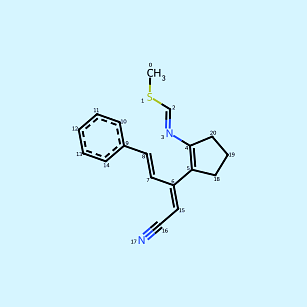 CS/C=N/C1=C(C(/C=C/c2ccccc2)=C/C#N)CCC1